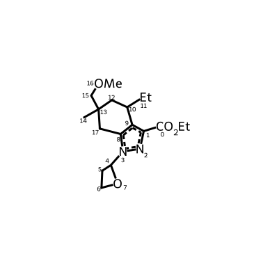 CCOC(=O)c1nn(C2CCO2)c2c1C(CC)CC(C)(COC)C2